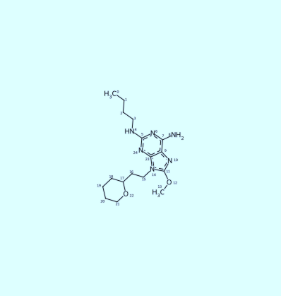 CCCCNc1nc(N)c2nc(OC)n(CCC3CCCCO3)c2n1